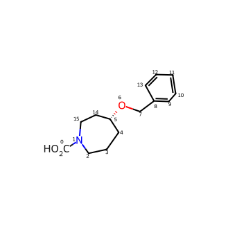 O=C(O)N1CCC[C@@H](OCc2ccccc2)CC1